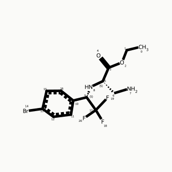 CCOC(=O)[C@H](CN)N[C@@H](c1ccc(Br)cc1)C(F)(F)F